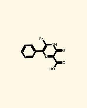 O=C(O)c1nc(-c2ccccc2)c(Br)[nH]c1=O